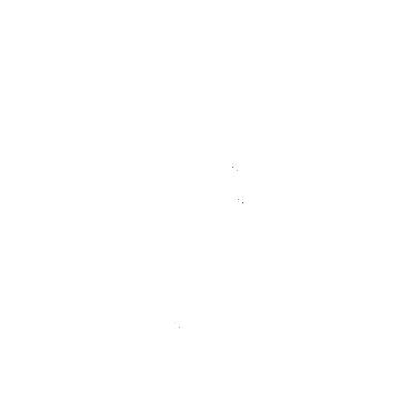 Cc1cc(O)c(-c2ccc(CC3CCCN(C(=O)O)C3)nn2)c(F)c1